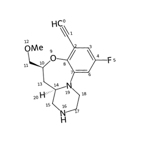 C#Cc1cc(F)cc2c1O[C@H](COC)C[C@@H]1CNCCN21